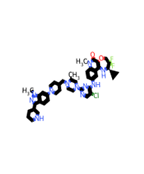 C[C@H]1CN(c2ncc(Cl)c(Nc3ccc4c(c3)c3c(c(=O)n4C)OCC(F)(F)[C@H](C4CC4)N3)n2)CCN1CC1CCN(c2ccc3c(C4CCCNC4)nn(C)c3c2)CC1